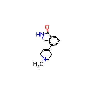 CN1CC=C(c2cccc3c2CNC3=O)CC1